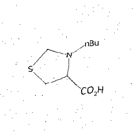 CCCCN1CSCC1C(=O)O